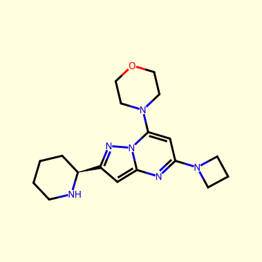 c1c(N2CCC2)nc2cc([C@@H]3CCCCN3)nn2c1N1CCOCC1